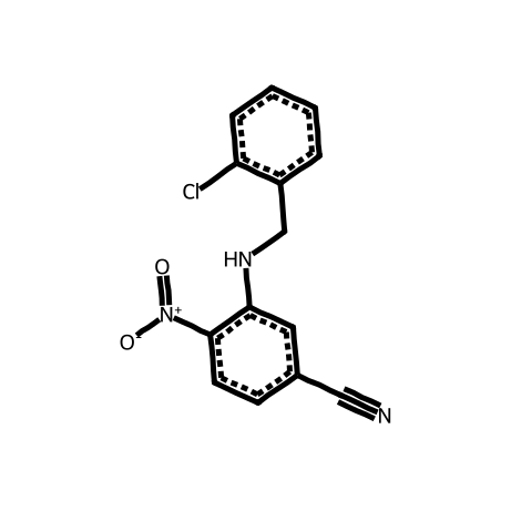 N#Cc1ccc([N+](=O)[O-])c(NCc2ccccc2Cl)c1